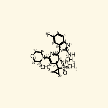 CNc1nc2ccc(F)cc2n1-c1nc(N2CCOC[C@H]2C)cc(C2(S(C)(=N)=O)CC2)n1